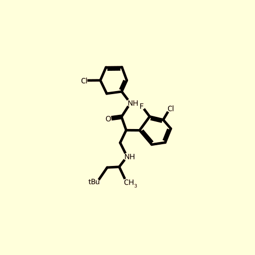 CC(CC(C)(C)C)NCC(C(=O)NC1=CC=CC(Cl)C1)c1cccc(Cl)c1F